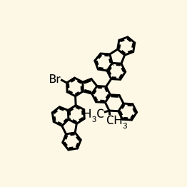 CC1(C)c2ccccc2C=c2c1cc1c(c2-c2ccc3c4c(cccc24)-c2ccccc2-3)C=c2cc(Br)cc(-c3ccc4c5c(cccc35)-c3ccccc3-4)c2=1